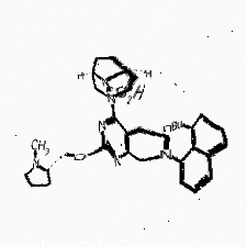 CCCCc1cccc2cccc(N3CCc4c(nc(OC[C@@H]5CCCN5C)nc4N4C[C@H]5CC[C@@H](C4)N5C(=O)O)C3)c12